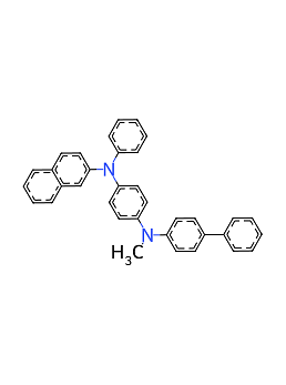 CN(c1ccc(-c2ccccc2)cc1)c1ccc(N(c2ccccc2)c2ccc3ccccc3c2)cc1